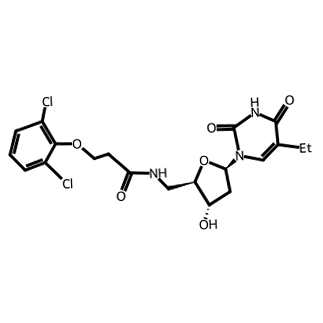 CCc1cn([C@H]2C[C@H](O)[C@@H](CNC(=O)CCOc3c(Cl)cccc3Cl)O2)c(=O)[nH]c1=O